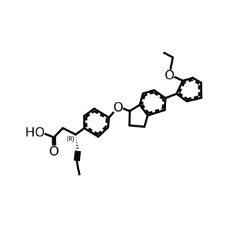 CC#C[C@H](CC(=O)O)c1ccc(OC2CCc3cc(-c4ccccc4OCC)ccc32)cc1